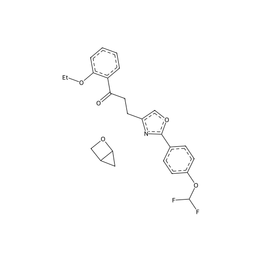 C1OC2CC12.CCOc1ccccc1C(=O)CCc1coc(-c2ccc(OC(F)F)cc2)n1